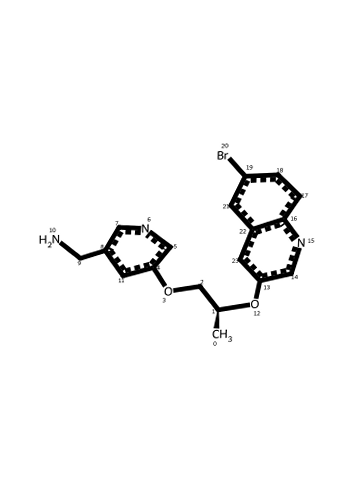 C[C@@H](COc1cncc(CN)c1)Oc1cnc2ccc(Br)cc2c1